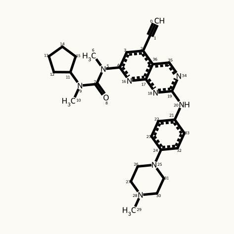 C#Cc1cc(N(C)C(=O)N(C)C2CCCC2)nc2nc(Nc3ccc(N4CCN(C)CC4)cc3)ncc12